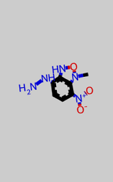 CN1ONc2c(NN)ccc([N+](=O)[O-])c21